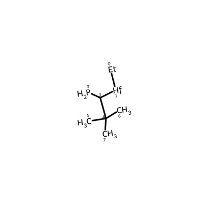 C[CH2][Hf][CH](P)C(C)(C)C